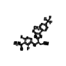 CSc1oc(C(CO)Oc2ccc(F)c(C(N)=O)c2F)nc1-c1ccc(C(F)(F)F)cc1